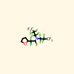 FC(N(C(F)(F)C(F)(F)C(F)(F)F)C(F)(F)C(F)(F)C(F)(F)F)C(F)(F)C1CCCO1